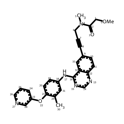 COCC(=O)N(C)CC#Cc1ccc2ncnc(Nc3ccc(Oc4cccnc4)c(C)c3)c2c1